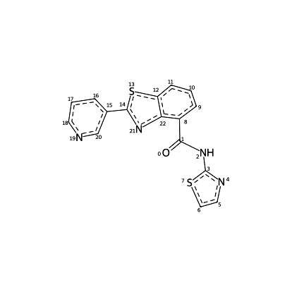 O=C(Nc1nccs1)c1cccc2sc(-c3cccnc3)nc12